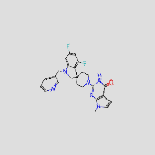 Cn1ccc2c(=O)[nH]c(N3CCC4(CC3)CN(Cc3cccnc3)c3cc(F)cc(F)c34)nc21